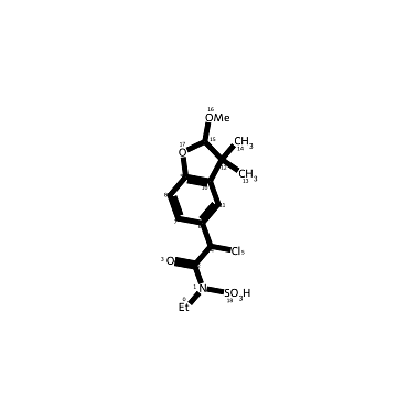 CCN(C(=O)C(Cl)c1ccc2c(c1)C(C)(C)C(OC)O2)S(=O)(=O)O